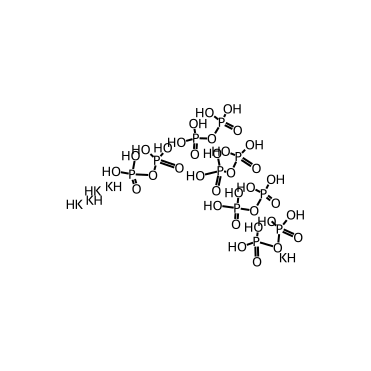 O=P(O)(O)OP(=O)(O)O.O=P(O)(O)OP(=O)(O)O.O=P(O)(O)OP(=O)(O)O.O=P(O)(O)OP(=O)(O)O.O=P(O)(O)OP(=O)(O)O.[KH].[KH].[KH].[KH].[KH]